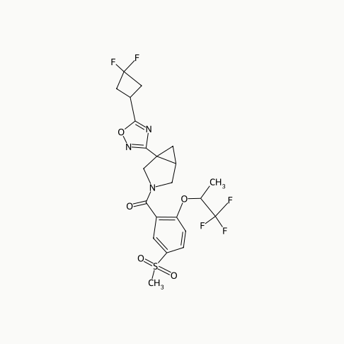 CC(Oc1ccc(S(C)(=O)=O)cc1C(=O)N1CC2CC2(c2noc(C3CC(F)(F)C3)n2)C1)C(F)(F)F